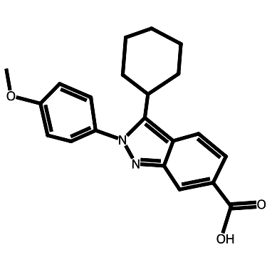 COc1ccc(-n2nc3cc(C(=O)O)ccc3c2C2CCCCC2)cc1